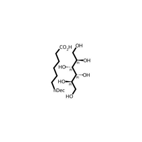 CCCCCCCCCCCCCCCC(=O)O.OC[C@@H](O)[C@@H](O)[C@H](O)[C@H](O)CO